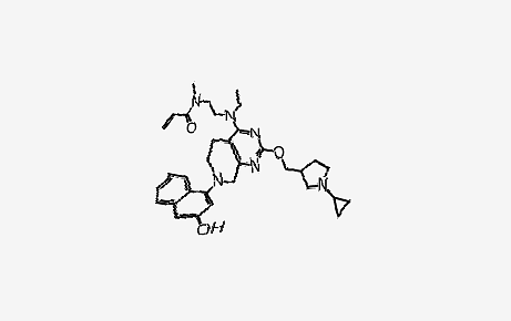 C=CC(=O)N(C)CCN(CC)c1nc(OCC2CCN(C3CC3)C2)nc2c1CCN(c1cc(O)cc3ccccc13)C2